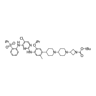 Cc1cc(Nc2ncc(Cl)c(Nc3ccccc3S(=O)(=O)C(C)C)n2)c(OC(C)C)cc1C1CCN(C2CCN(C3CN(C(=O)OC(C)(C)C)C3)CC2)CC1